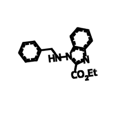 CCOC(=O)c1nc2ccccc2n1NCc1ccccc1